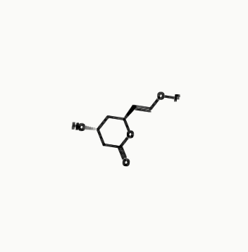 O=C1C[C@H](O)C[C@@H](/C=C/OF)O1